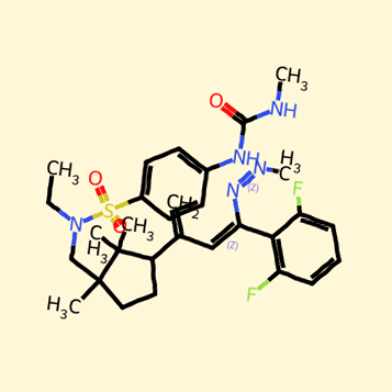 C=C(/C=C(\N=N/C)c1c(F)cccc1F)C1CCC(C)(CN(CC)S(=O)(=O)c2ccc(NC(=O)NC)cc2)C1(C)C